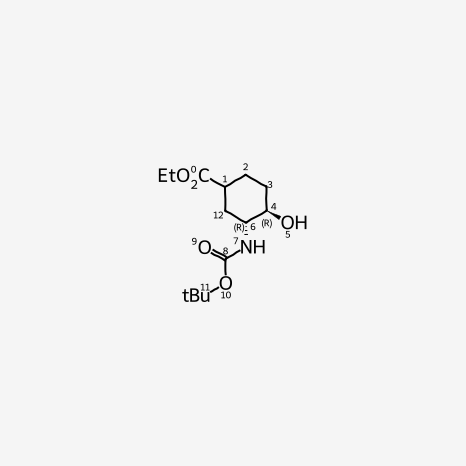 CCOC(=O)C1CC[C@@H](O)[C@H](NC(=O)OC(C)(C)C)C1